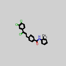 Cc1ccccc1NC(=O)c1ccc(CC=C(Cl)c2ccc(Cl)c(Cl)c2)cc1